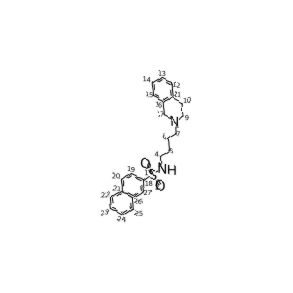 O=S(=O)(NCCCCN1CCc2ccccc2C1)c1ccc2ccccc2c1